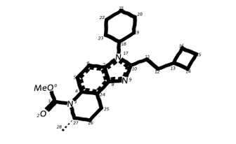 COC(=O)N1c2ccc3c(nc(CCC4CCC4)n3C3CCCCC3)c2CC[C@@H]1C